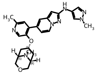 Cc1cc(-c2ccn3nc(Nc4cnn(C)c4)cc3c2)c(O[C@H]2C[C@H]3COC[C@@H](C2)N3C)cn1